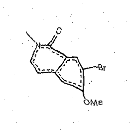 COc1cc2ccn(C)c(=O)c2cc1Br